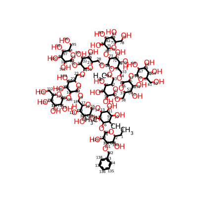 CCC1O[C@H](OC2C(C)C(O)C(O)C(O[C@H]3OC(CO[C@H]4OC(CO[C@H]5OC(CO[C@H]6OC(CO[C@H]7OC(COC8OC(COC)C(O)C(O)C8O)[C@@H](O)[C@H](O)C7O[C@H]7OC(CO)[C@@H](O)[C@H](O)C7O)[C@@H](O)[C@H](O)C6O[C@H]6OC(CO)[C@@H](O)[C@H](O)C6O)[C@@H](O)[C@H](O)C5O[C@H]5OC(CO)[C@@H](O)[C@H](O)C5O)[C@@H](O)[C@H](O)C4O[C@H]4OC(CO)[C@@H](O)[C@H](O)C4O)[C@@H](O)[C@H](O)C3O)C2C)C(O)[C@H](OCc2ccccc2)[C@@H]1O